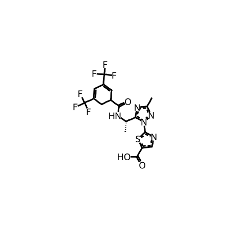 Cc1nc([C@H](C)NC(=O)C2C=C(C(F)(F)F)C=C(C(F)(F)F)C2)n(-c2ncc(C(=O)O)s2)n1